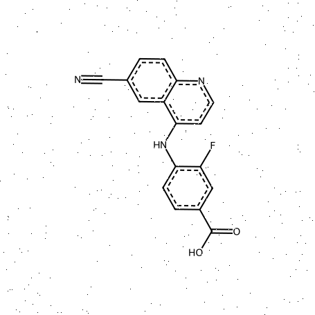 N#Cc1ccc2nccc(Nc3ccc(C(=O)O)cc3F)c2c1